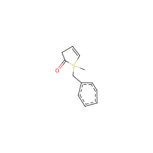 CS1(Cc2ccccc2)C=CCC1=O